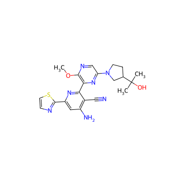 COc1ncc(N2CCC(C(C)(C)O)C2)nc1-c1nc(-c2nccs2)cc(N)c1C#N